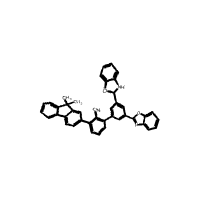 CC1(C)c2ccccc2-c2ccc(-c3cccc(-c4cc(-c5nc6ccccc6o5)cc(C5Nc6ccccc6O5)c4)c3C#N)cc21